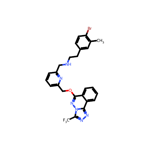 Cc1cc(CCNCc2cccc(COc3nn4c(C(F)(F)F)nnc4c4ccccc34)n2)ccc1Br